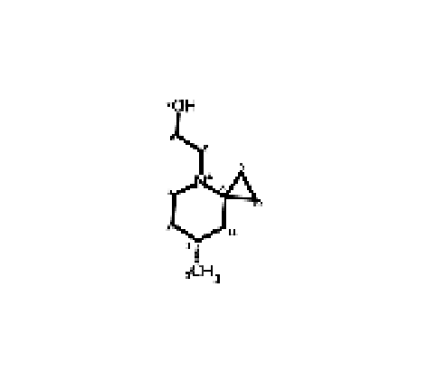 C[C@@H]1CCN(CCO)C2(CC2)C1